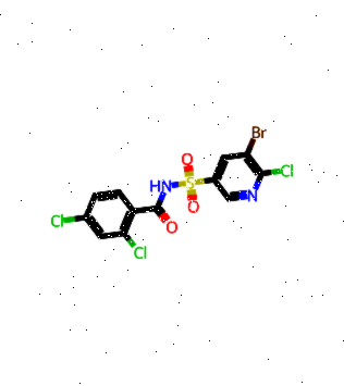 O=C(NS(=O)(=O)c1cnc(Cl)c(Br)c1)c1ccc(Cl)cc1Cl